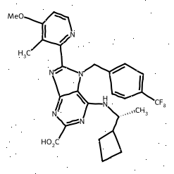 COc1ccnc(-c2nc3nc(C(=O)O)nc(N[C@H](C)C4CCC4)c3n2Cc2ccc(C(F)(F)F)cc2)c1C